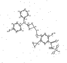 CS(=O)(=O)NC(=O)c1cc(C2CC2)c(OCC2CN([C@H](c3ccccc3)c3ccc(F)cc3)C2)cc1F